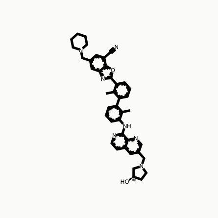 Cc1c(Nc2nccc3cc(CN4CC[C@@H](O)C4)cnc23)cccc1-c1cccc(-c2nc3cc(CN4CCCCC4)cc(C#N)c3o2)c1C